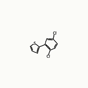 Clc1ccc(Cl)c(-c2cccs2)c1